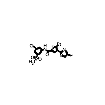 CCc1sc(C(=O)Nc2cc(Cl)cc(S(C)(=O)=O)c2)cc1-c1ncc(F)cn1